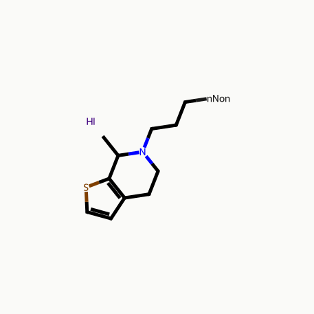 CCCCCCCCCCCCN1CCc2ccsc2C1C.I